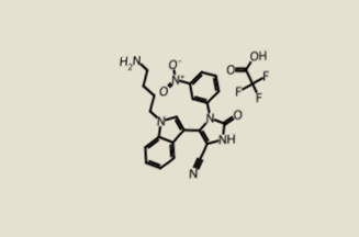 N#Cc1[nH]c(=O)n(-c2cccc([N+](=O)[O-])c2)c1-c1cn(CCCCN)c2ccccc12.O=C(O)C(F)(F)F